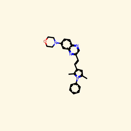 Cc1cc(C=Cc2cnc3ccc(N4CCOCC4)cc3n2)c(C)n1-c1ccccc1